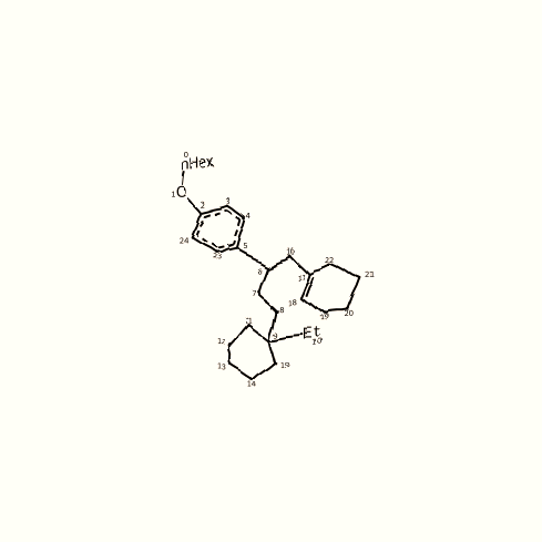 CCCCCCOc1ccc(C(CCC2(CC)CCCCC2)CC2=CCCCC2)cc1